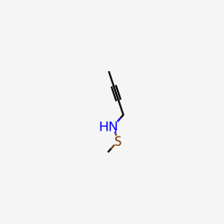 CC#CCNSC